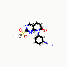 CS(=O)(=O)c1ncc2ccc(=O)n(-c3cccc(N)c3)c2n1